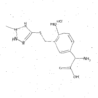 CN1NN=C(SCc2cc(C(N)C(=O)O)ccc2O)N1.Cl